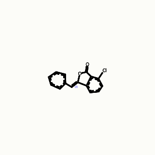 O=C1O/C(=C\c2ccccc2)c2cccc(Cl)c21